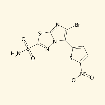 NS(=O)(=O)c1nn2c(-c3ccc([N+](=O)[O-])s3)c(Br)nc2s1